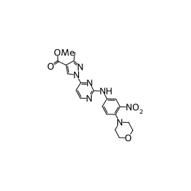 COC(=O)c1cn(-c2ccnc(Nc3ccc(N4CCOCC4)c([N+](=O)[O-])c3)n2)nc1C